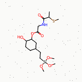 CO[Si](CCC1CCC(O)C(OC(=O)CNC(=O)C(C)SC)C1)(OC)OC